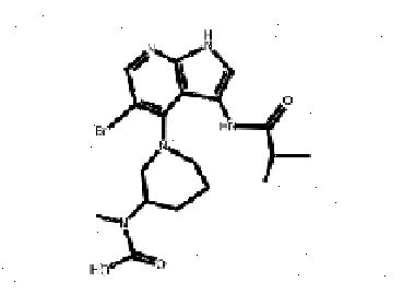 CC(C)C(=O)Nc1c[nH]c2ncc(Br)c(N3CCCC(N(C)C(=O)O)C3)c12